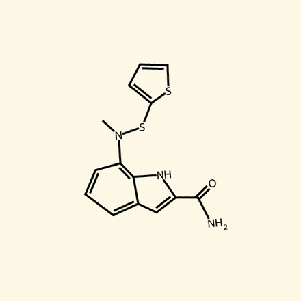 CN(Sc1cccs1)c1cccc2cc(C(N)=O)[nH]c12